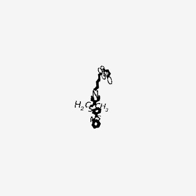 C=C(C=C1C=CN(CCCCCC(=O)ON2C(=O)CCC2=O)C=C1)Sc1cc(-c2nc3ccccc3s2)ccc1C